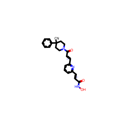 N#CC1(c2ccccc2)CCN(C(=O)/C=C/c2cccc(/C=C/C(=O)NO)n2)CC1